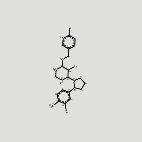 Cc1ccc(COC2NCNC(N3CCCC3c3ccc(C(F)(F)F)c(F)c3)C2F)cn1